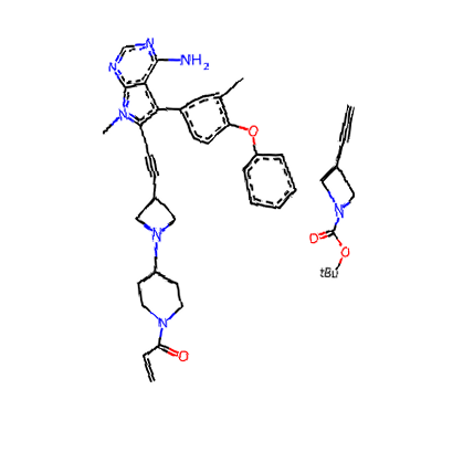 C#CC1CN(C(=O)OC(C)(C)C)C1.C=CC(=O)N1CCC(N2CC(C#Cc3c(-c4ccc(Oc5ccccc5)c(C)c4)c4c(N)ncnc4n3C)C2)CC1